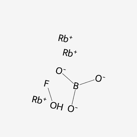 OF.[O-]B([O-])[O-].[Rb+].[Rb+].[Rb+]